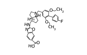 CCOc1cc(CN2CC[C@H]3C(Nc4nc5ccc(C(=O)O)cc5o4)CC[C@H]32)cc(OCC)c1-c1ccc(F)cc1